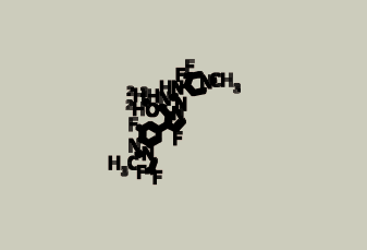 [2H]C([2H])([2H])Oc1nc(N[C@@H]2CCN(C)CC2(F)F)nn2cc(F)c(-c3cc(F)c4nc(C)n(CC(F)F)c4c3)c12